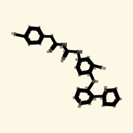 O=C(Cc1ccc(F)cc1)NC(=O)Nc1ccc(Oc2ccncc2-c2ccccn2)c(F)c1